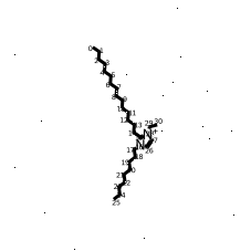 CCCCCCCCCCCCCCCc1n(CCCCCCCCC)cc[n+]1CC